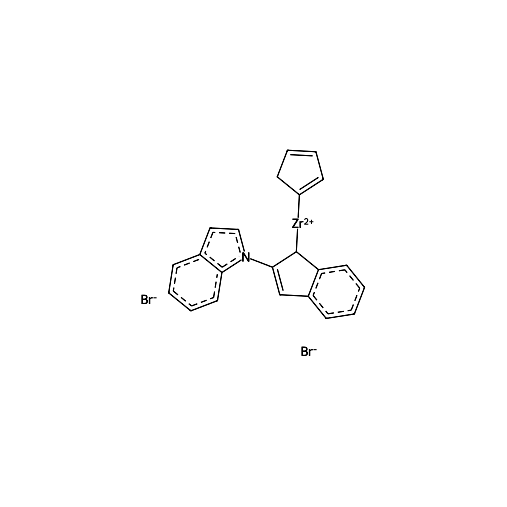 C1=CC[C]([Zr+2][CH]2C(n3ccc4ccccc43)=Cc3ccccc32)=C1.[Br-].[Br-]